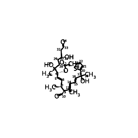 CC(=O)O[C@H](/C=C/[C@H](C)[C@H](C=O)/C(C)=C/C=C/C(C)(O)c1cccs1)[C@](C)(O)CC[C@@H](O)CC=O